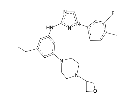 CCc1cc(Nc2ncn(-c3ccc(C)c(F)c3)n2)cc(N2CCN(C3COC3)CC2)c1